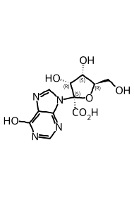 O=C(O)[C@@]1(n2cnc3c(O)ncnc32)O[C@H](CO)[C@@H](O)[C@H]1O